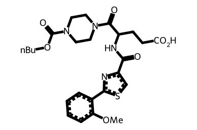 CCCCOC(=O)N1CCN(C(=O)C(CCC(=O)O)NC(=O)c2csc(-c3ccccc3OC)n2)CC1